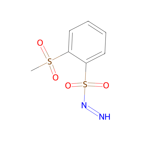 CS(=O)(=O)c1ccccc1S(=O)(=O)N=N